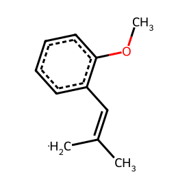 [CH2]/C(C)=C\c1ccccc1OC